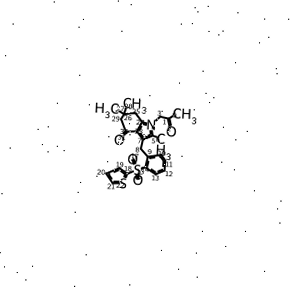 CC(=O)Cn1c(C)c(Cc2ccccc2S(=O)(=O)c2cccs2)c2c1CC(C)(C)CC2=O